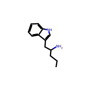 CCCC(N)Cc1c[nH]c2ccccc12